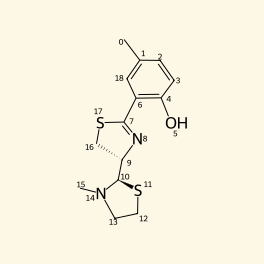 Cc1ccc(O)c(C2=N[C@H]([C@H]3SCCN3C)CS2)c1